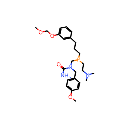 COCOc1cccc(CCCP(CCN(C)C)CN(Cc2ccc(OC)cc2)C(N)=O)c1